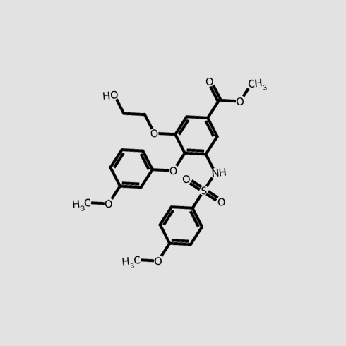 COC(=O)c1cc(NS(=O)(=O)c2ccc(OC)cc2)c(Oc2cccc(OC)c2)c(OCCO)c1